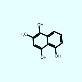 Cc1cc(O)c2c(O)cccc2c1O